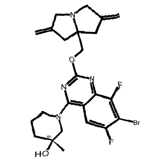 C=C1CN2CC(=C)CC2(COc2nc(N3CCC[C@@](C)(O)C3)c3cc(F)c(Br)c(F)c3n2)C1